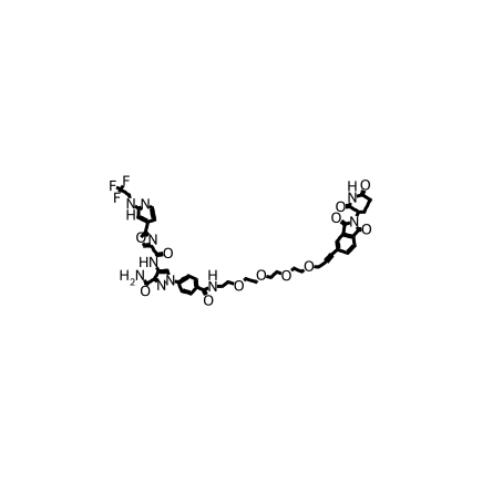 NC(=O)c1nn(-c2ccc(C(=O)NCCOCCOCCOCCOCC#Cc3ccc4c(c3)C(=O)N(C3CCC(=O)NC3=O)C4=O)cc2)cc1NC(=O)c1coc(-c2ccnc(NCC(F)(F)F)c2)n1